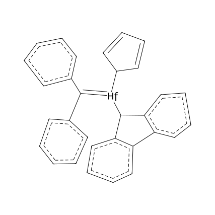 C1=C[CH]([Hf](=[C](c2ccccc2)c2ccccc2)[CH]2c3ccccc3-c3ccccc32)C=C1